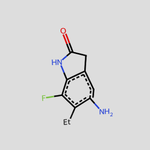 CCc1c(N)cc2c(c1F)NC(=O)C2